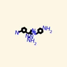 N#Cc1cccc(-c2nc(N)nc3c2cnn3Cc2ccc(N)cc2)c1